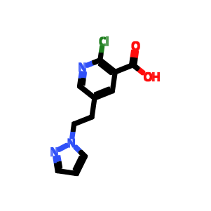 O=C(O)c1cc(CCn2cccn2)cnc1Cl